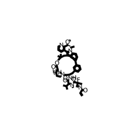 C=CC(=O)N1CC(F)(C(=O)N(C)C(C(=O)N[C@H]2Cc3cccc(c3)-c3ccc4c(c3)c(c(-c3cccnc3[C@H](C)OC)n4CC)CC(C)(C)COC(=O)[C@@H]3CCCN(N3)C2=O)C(C)C)C1